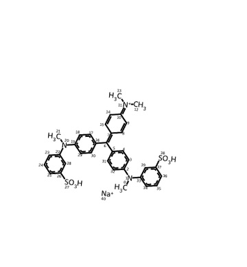 CN(c1ccc(C(=C2C=CC(=[N+](C)C)C=C2)c2ccc(N(C)c3cccc(S(=O)(=O)O)c3)cc2)cc1)c1cccc(S(=O)(=O)O)c1.[Na+]